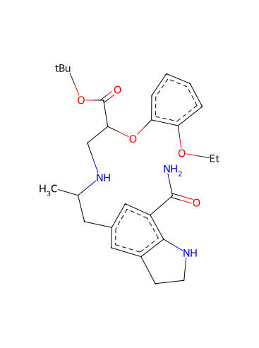 CCOc1ccccc1OC(CNC(C)Cc1cc2c(c(C(N)=O)c1)NCC2)C(=O)OC(C)(C)C